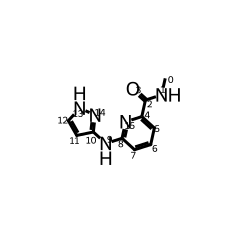 CNC(=O)c1cccc(Nc2cc[nH]n2)n1